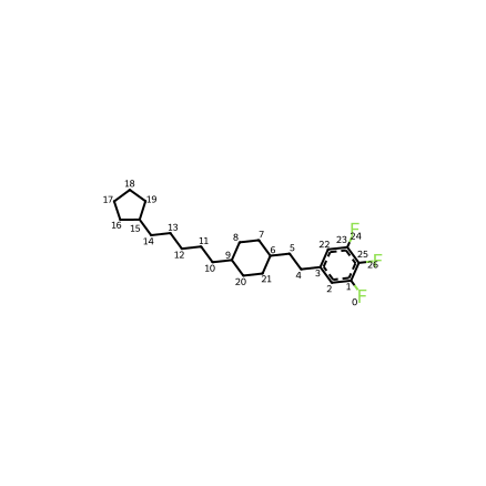 Fc1cc(CCC2CCC(CCCCCC3CCCC3)CC2)cc(F)c1F